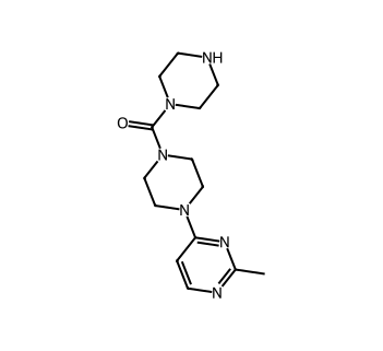 Cc1nccc(N2CCN(C(=O)N3CCNCC3)CC2)n1